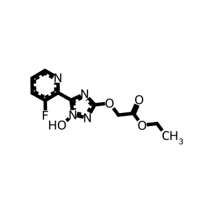 CCOC(=O)COc1nc(-c2ncccc2F)n(O)n1